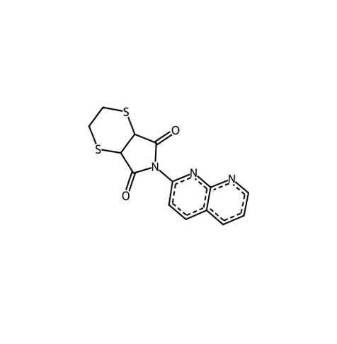 O=C1C2SCCSC2C(=O)N1c1ccc2cccnc2n1